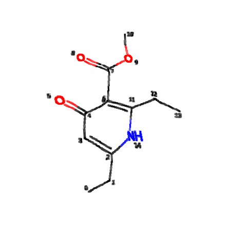 CCc1cc(=O)c(C(=O)OC)c(CC)[nH]1